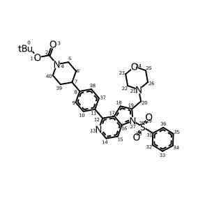 CC(C)(C)OC(=O)N1CCC(c2ccc(-c3nccc4c3cc(CN3CCOCC3)n4S(=O)(=O)c3ccccc3)cc2)CC1